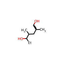 CCC(O)C(C)CC(C)=CO